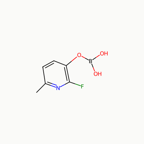 Cc1ccc(OB(O)O)c(F)n1